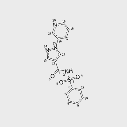 O=C(NS(=O)(=O)c1ccccc1)c1cnn(-c2cccnc2)c1